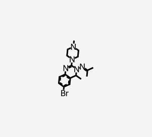 CC(C)=NN1C(N2CCN(C)CC2)=Nc2ccc(Br)cc2C1C